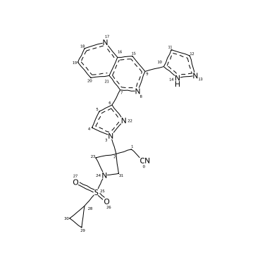 N#CCC1(n2ccc(-c3nc(-c4ccn[nH]4)cc4ncccc34)n2)CN(S(=O)(=O)C2CC2)C1